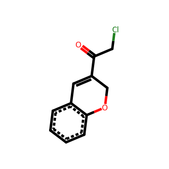 O=C(CCl)C1=Cc2ccccc2OC1